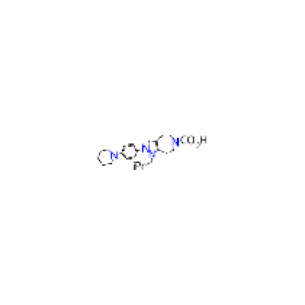 CC(C)CN1C2=C(CCN(C(=O)O)CC2)CN1c1ccc(N2CCCCC2)cc1